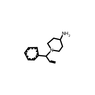 C=CC(c1ccccc1)N1CCC(N)CC1